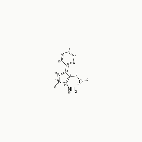 COCc1c(-c2ccccc2)nn(C)c1N